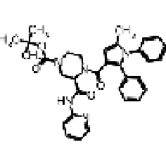 Cc1cc(C(=O)N2CCN(C(=O)OC(C)(C)C)CC2C(=O)Nc2ccccn2)c(-c2ccccc2)n1-c1ccccc1